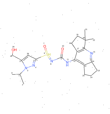 CC(C)n1nc(/[SH](=O)=N/C(=O)Nc2c3c(nc4c2CCC4(C)C)CCC3)cc1CO